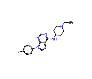 C[C](C)CN1CCC(Nc2ncnc3c2ccn3-c2ccc(C)cc2)CC1